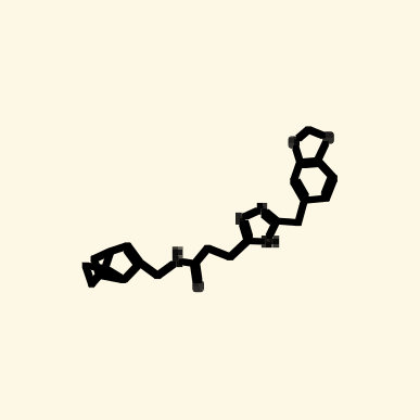 O=C(CCc1nnc(Cc2ccc3c(c2)OCO3)[nH]1)NCC1=CC2CCC1C21CC1